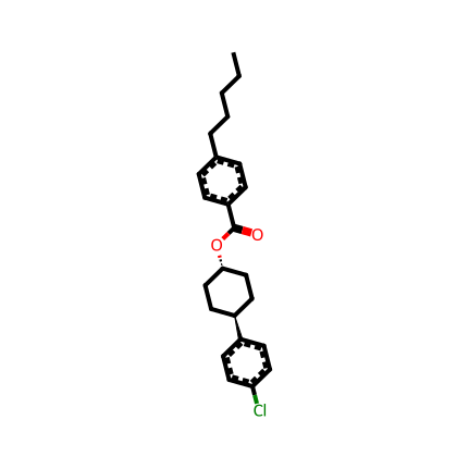 CCCCCc1ccc(C(=O)O[C@H]2CC[C@H](c3ccc(Cl)cc3)CC2)cc1